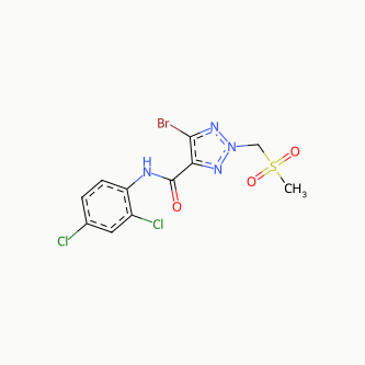 CS(=O)(=O)Cn1nc(Br)c(C(=O)Nc2ccc(Cl)cc2Cl)n1